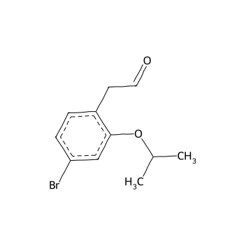 CC(C)Oc1cc(Br)ccc1CC=O